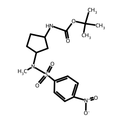 CN(C1CCC(NC(=O)OC(C)(C)C)C1)S(=O)(=O)c1ccc([N+](=O)[O-])cc1